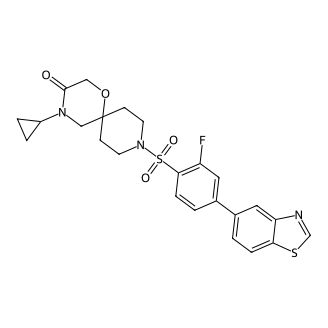 O=C1COC2(CCN(S(=O)(=O)c3ccc(-c4ccc5scnc5c4)cc3F)CC2)CN1C1CC1